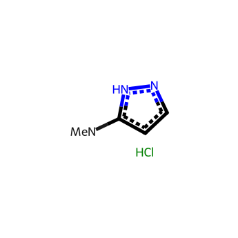 CNc1ccn[nH]1.Cl